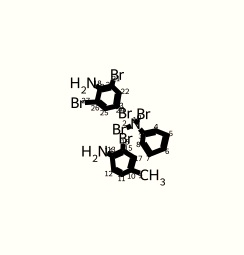 BrN(Br)c1ccccc1.Cc1ccc(N)c(Br)c1.Nc1c(Br)cc(Br)cc1Br